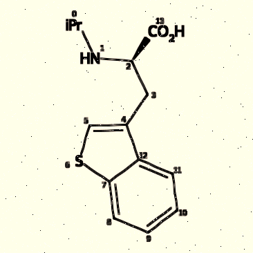 CC(C)N[C@H](Cc1csc2ccccc12)C(=O)O